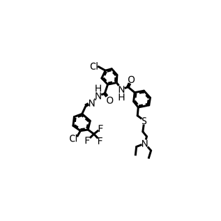 CCN(CC)CCSCc1cccc(C(=O)Nc2ccc(Cl)cc2C(=O)N/N=C/c2ccc(Cl)c(C(F)(F)F)c2)c1